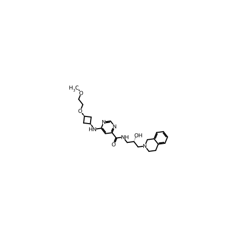 COCCO[C@H]1C[C@@H](Nc2cc(C(=O)NC[C@H](O)CN3CCc4ccccc4C3)ncn2)C1